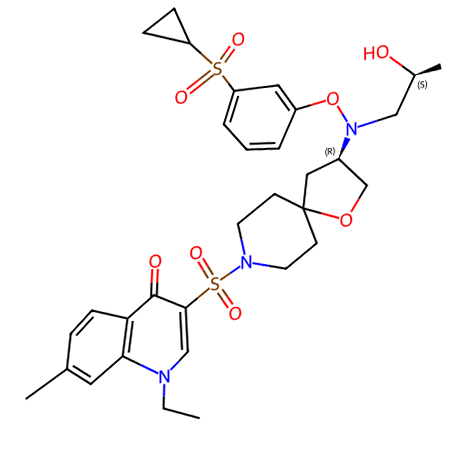 CCn1cc(S(=O)(=O)N2CCC3(CC2)C[C@@H](N(C[C@H](C)O)Oc2cccc(S(=O)(=O)C4CC4)c2)CO3)c(=O)c2ccc(C)cc21